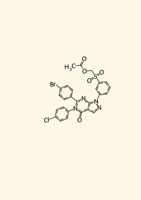 CC(=O)OCS(=O)(=O)c1cccc(-n2ncc3c(=O)n(-c4ccc(Cl)cc4)c(-c4ccc(Br)cc4)nc32)c1